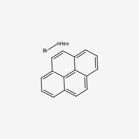 CCCCCCBr.c1cc2ccc3cccc4ccc(c1)c2c34